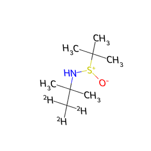 [2H]C([2H])([2H])C(C)(C)N[S+]([O-])C(C)(C)C